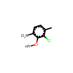 CCCOc1c([N+](=O)[O-])ccc(C)c1Cl